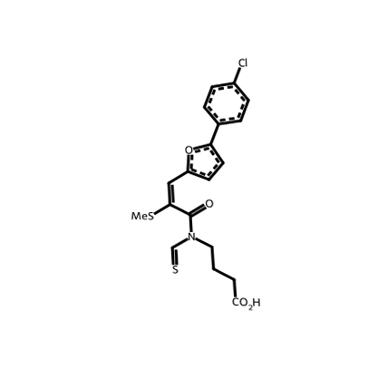 CS/C(=C/c1ccc(-c2ccc(Cl)cc2)o1)C(=O)N(C=S)CCCC(=O)O